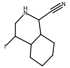 N#CC1NCC(I)C2CCCCC12